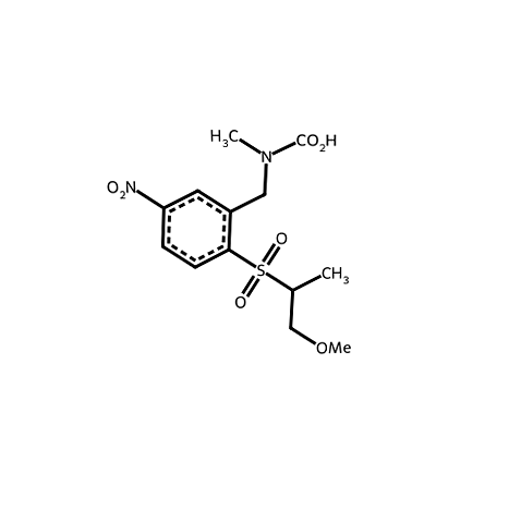 COCC(C)S(=O)(=O)c1ccc([N+](=O)[O-])cc1CN(C)C(=O)O